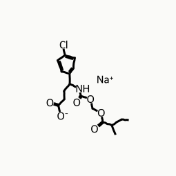 CCC(C)C(=O)OCOC(=O)NC(CCC(=O)[O-])c1ccc(Cl)cc1.[Na+]